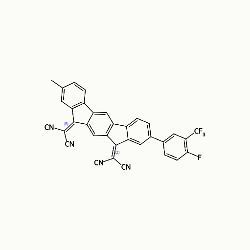 [C-]#[N+]/C(C#N)=C1/c2cc(-c3ccc(F)c(C(F)(F)F)c3)ccc2-c2cc3c(cc21)/C(=C(\C#N)[N+]#[C-])c1cc(C)ccc1-3